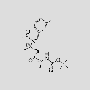 CC(=O)[C@@H](Cc1cccc(C)c1)[C@H](C)OC(=O)[C@H](C)NC(=O)OC(C)(C)C